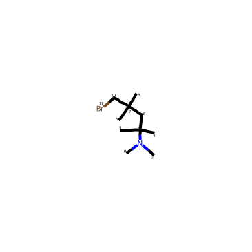 CN(C)C(C)(C)CC(C)(C)CBr